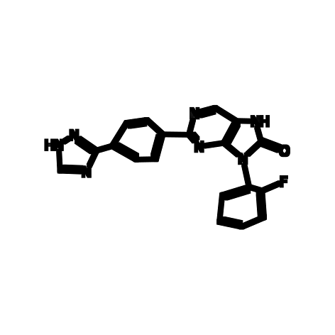 O=c1[nH]c2cnc(-c3ccc(-c4nc[nH]n4)cc3)nc2n1-c1ccccc1F